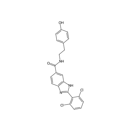 O=C(NCCc1ccc(O)cc1)c1ccc2nc(-c3c(Cl)cccc3Cl)[nH]c2c1